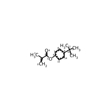 C=C(C)C(=O)Oc1ccc(C(C)(C)C)cc1